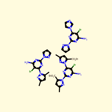 CCOC(=O)c1cc(C)nn1-c1nc(N)c(Br)c(-n2nc(C)cc2C(=O)OCC)n1.Cc1cc(C)n(-c2nc(-n3cccn3)nc(N)c2Br)n1.Nc1nc(-n2cccn2)nc(-n2ccnc2)c1Br